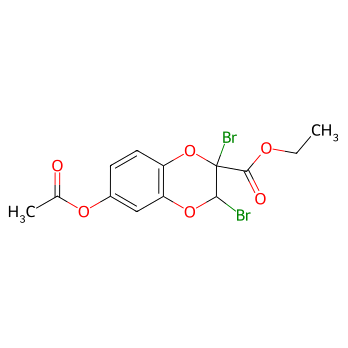 CCOC(=O)C1(Br)Oc2ccc(OC(C)=O)cc2OC1Br